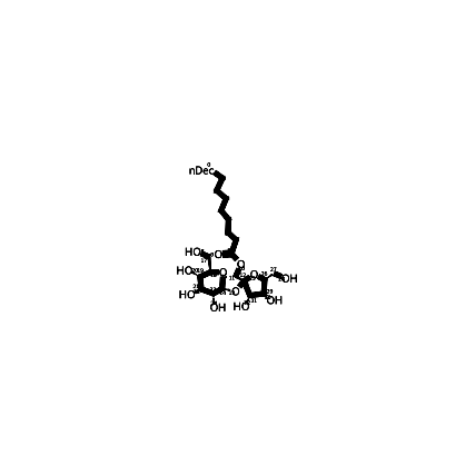 CCCCCCCCCCCCCCCCCC(=O)OC[C@@]1(O[C@H]2O[C@H](CO)[C@@H](O)[C@H](O)[C@H]2O)O[C@H](CO)[C@@H](O)[C@@H]1O